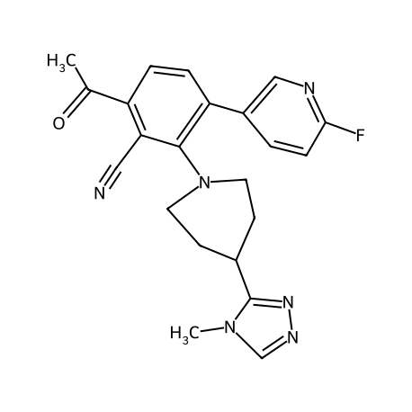 CC(=O)c1ccc(-c2ccc(F)nc2)c(N2CCC(c3nncn3C)CC2)c1C#N